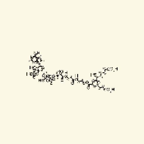 CC(C)(COP(=O)(O)OP(=O)(O)OC[C@H]1O[C@@H](n2cnc3c(N)ncnc32)[C@H](O)[C@@H]1OP(=O)(O)O)C(O)C(=O)NCCC(=O)NCCSOC(=O)C(CCCCC(=O)O)OC(=O)C(O)CCCCC(=O)O